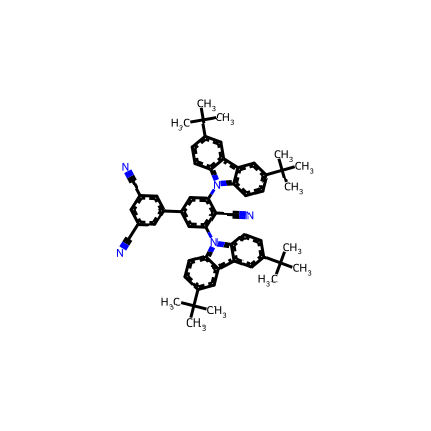 CC(C)(C)c1ccc2c(c1)c1cc(C(C)(C)C)ccc1n2-c1cc(-c2cc(C#N)cc(C#N)c2)cc(-n2c3ccc(C(C)(C)C)cc3c3cc(C(C)(C)C)ccc32)c1C#N